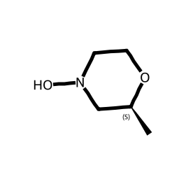 C[C@H]1CN(O)CCO1